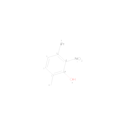 Cc1ccc(C(C)C)c([N+](=O)[O-])c1O